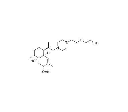 CC(=O)O[C@@H]1[CH][C@@]2(O)[C@H](C)CC[C@@H](C(C)CN3CCN(CCOCCO)CC3)[C@H]2C=C1C